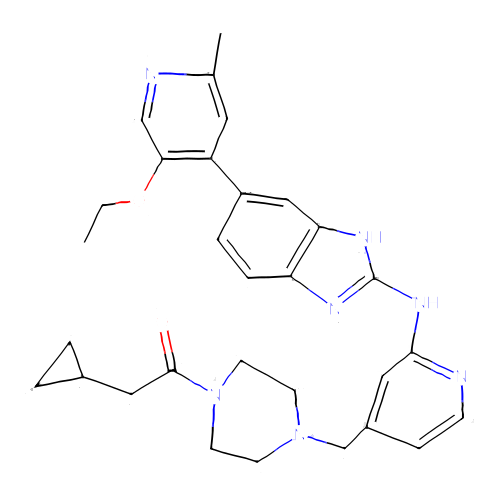 CCOc1cnc(C)cc1-c1ccc2nc(Nc3cc(CN4CCN(C(=O)CC5CC5)CC4)ccn3)[nH]c2c1